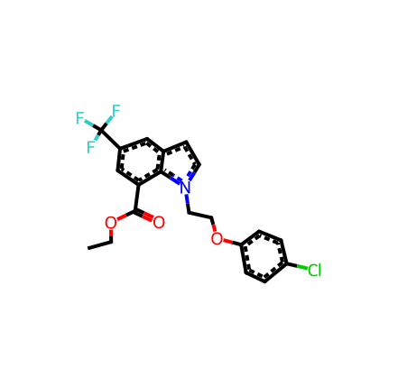 CCOC(=O)c1cc(C(F)(F)F)cc2ccn(CCOc3ccc(Cl)cc3)c12